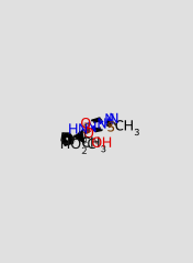 Cc1nnc(N2CCN(S(=O)(=O)N[C@H]3[C@H](C)[C@@H]3c3ccccc3)CC2)s1.O=C(O)O